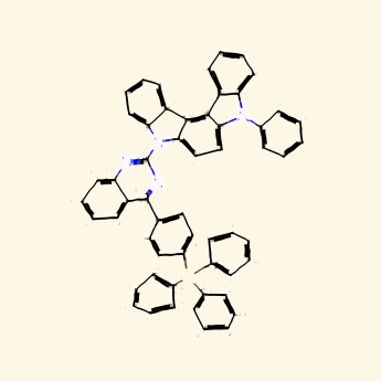 c1ccc(-n2c3ccccc3c3c4c5ccccc5n(-c5nc(-c6ccc(S(c7ccccc7)(c7ccccc7)c7ccccc7)cc6)c6ccccc6n5)c4ccc32)cc1